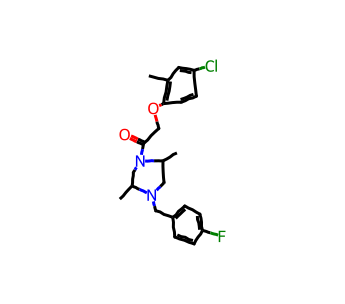 Cc1cc(Cl)ccc1OCC(=O)N1CC(C)N(Cc2ccc(F)cc2)CC1C